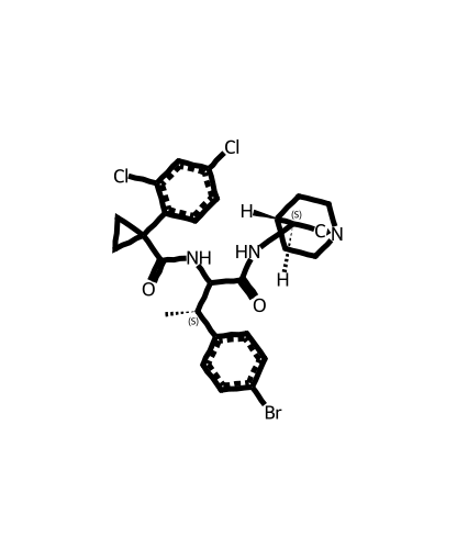 C[C@@H](c1ccc(Br)cc1)C(NC(=O)C1(c2ccc(Cl)cc2Cl)CC1)C(=O)N[C@@H]1C[N@]2CC[C@H]1CC2